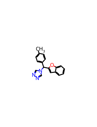 Cc1ccc(C(c2cc3ccccc3o2)n2cnnc2)cc1